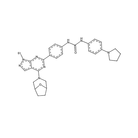 CCn1ncc2c(N3CC4CCC(C3)O4)nc(-c3ccc(NC(=O)Nc4ccc(N5CCCC5)cc4)cc3)nc21